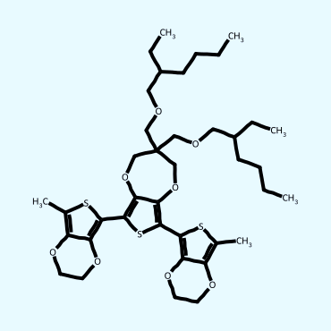 CCCCC(CC)COCC1(COCC(CC)CCCC)COc2c(-c3sc(C)c4c3OCCO4)sc(-c3sc(C)c4c3OCCO4)c2OC1